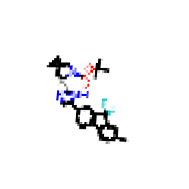 Cc1ccc2c(c1)C(F)(F)c1cc(-c3cnc([C@@H]4CC5(CC5)CN4C(=O)OC(C)(C)C)[nH]3)ccc1-2